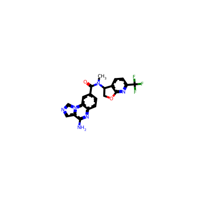 CN(C(=O)c1ccc2nc(N)c3cncn3c2c1)C1COc2nc(C(F)(F)F)ccc21